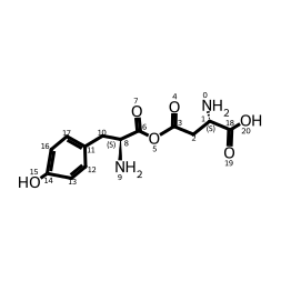 N[C@@H](CC(=O)OC(=O)[C@@H](N)Cc1ccc(O)cc1)C(=O)O